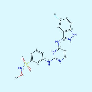 CONS(=O)(=O)c1cccc(Nc2nccc(Nc3n[nH]c4ccc(F)cc34)n2)c1